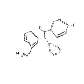 Nc1cccc(N(C(=O)c2ccc(F)nc2)c2ccccc2)c1